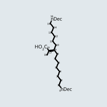 CCCCCCCCCCCCCCCCCCC(CCCCCCCCCCCCCCCC)=C(C)C(=O)O